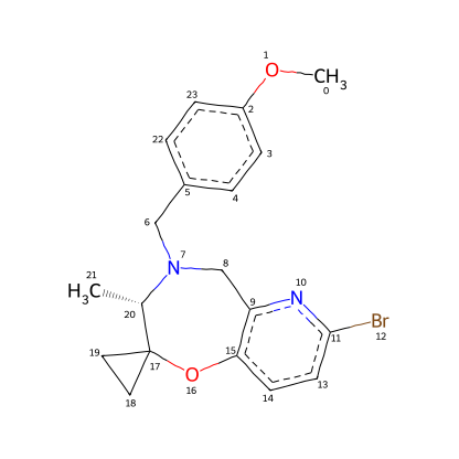 COc1ccc(CN2Cc3nc(Br)ccc3OC3(CC3)[C@@H]2C)cc1